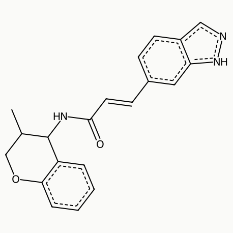 CC1COc2ccccc2C1NC(=O)/C=C/c1ccc2cn[nH]c2c1